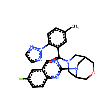 Cc1ccc(-n2nccn2)c(C(=O)N2CC3COCC(C2)N(c2ncc4cc(F)ccc4n2)C3)c1